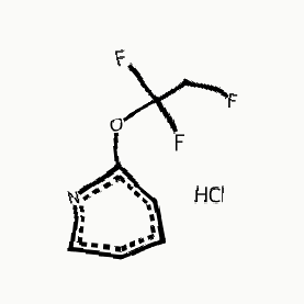 Cl.FCC(F)(F)Oc1ccccn1